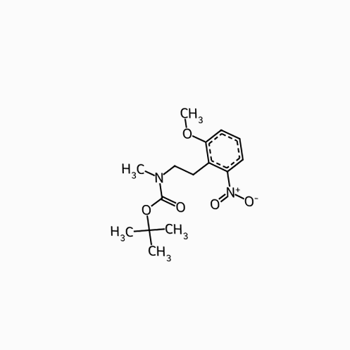 COc1cccc([N+](=O)[O-])c1CCN(C)C(=O)OC(C)(C)C